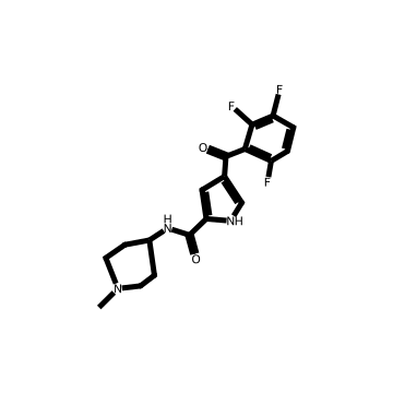 CN1CCC(NC(=O)c2cc(C(=O)c3c(F)ccc(F)c3F)c[nH]2)CC1